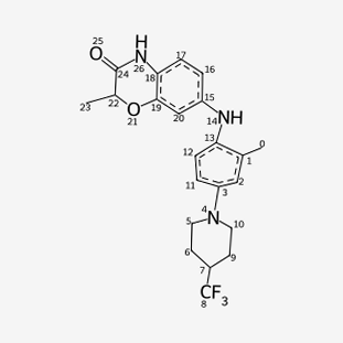 Cc1cc(N2CCC(C(F)(F)F)CC2)ccc1Nc1ccc2c(c1)OC(C)C(=O)N2